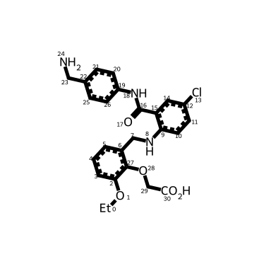 CCOc1cccc(CNc2ccc(Cl)cc2C(=O)Nc2ccc(CN)cc2)c1OCC(=O)O